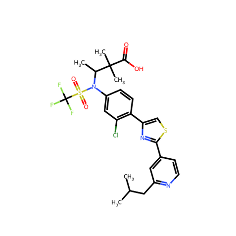 CC(C)Cc1cc(-c2nc(-c3ccc(N(C(C)C(C)(C)C(=O)O)S(=O)(=O)C(F)(F)F)cc3Cl)cs2)ccn1